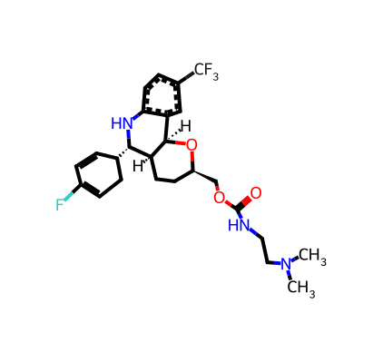 CN(C)CCNC(=O)OC[C@H]1CC[C@@H]2[C@H](O1)c1cc(C(F)(F)F)ccc1N[C@H]2C1C=CC(F)=CC1